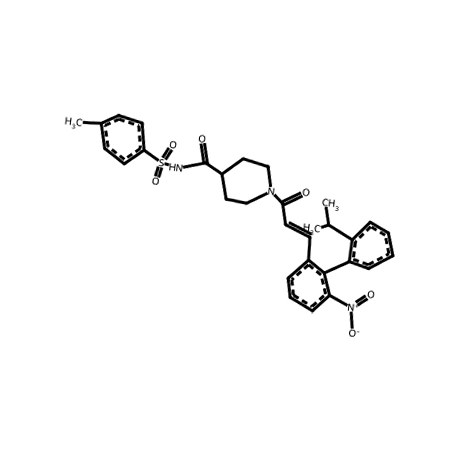 Cc1ccc(S(=O)(=O)NC(=O)C2CCN(C(=O)/C=C/c3cc[c]c([N+](=O)[O-])c3-c3ccccc3C(C)C)CC2)cc1